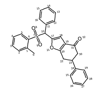 Cc1ccccc1S(=O)(=O)C(c1ccccc1)c1cc2c(o1)CC(c1ccccc1)CC2=O